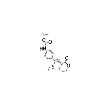 CCS/C(=N\N1CCCOC1=O)c1ccc(NC(=O)OC(C)C)cc1